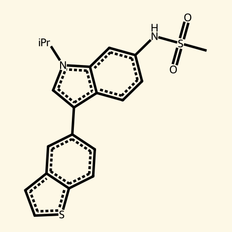 CC(C)n1cc(-c2ccc3sccc3c2)c2ccc(NS(C)(=O)=O)cc21